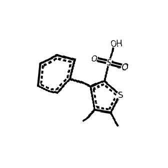 Cc1sc(S(=O)(=O)O)c(-c2ccccc2)c1C